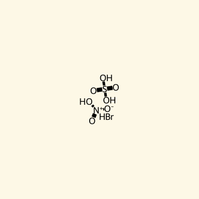 Br.O=S(=O)(O)O.O=[N+]([O-])O